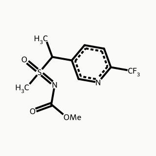 COC(=O)N=S(C)(=O)C(C)c1ccc(C(F)(F)F)nc1